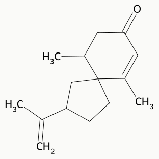 C=C(C)C1CCC2(C1)C(C)=CC(=O)CC2C